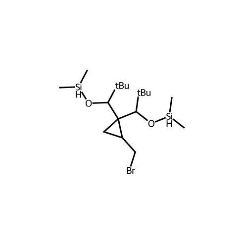 C[SiH](C)OC(C(C)(C)C)C1(C(O[SiH](C)C)C(C)(C)C)CC1CBr